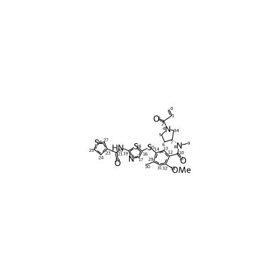 C=CC(=O)N1CC[C@@H](N(C)C(=O)c2cc(Sc3cnc(NC(=O)c4ccsc4)s3)c(C)cc2OC)C1